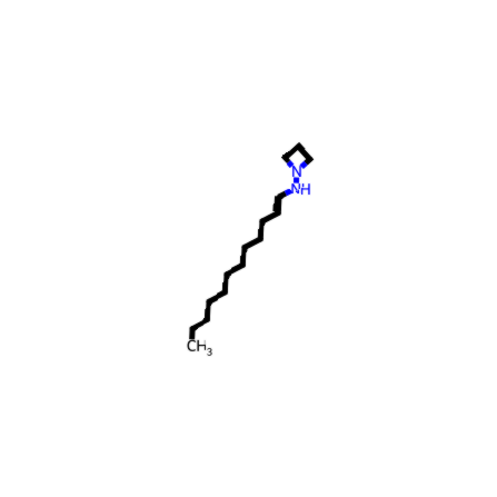 CCCCCCCCCCC=CNN1CCC1